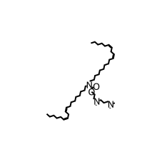 CCCCC/C=C\C/C=C\CCCCCCCCCN(CCCCCCCC/C=C\C/C=C\CCCCC)C(=O)OCCN(C)CCCN(C)C